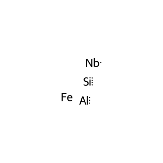 [Al].[Fe].[Nb].[Si]